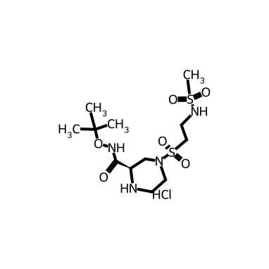 CC(C)(C)ONC(=O)[C@H]1CN(S(=O)(=O)CCNS(C)(=O)=O)CCN1.Cl